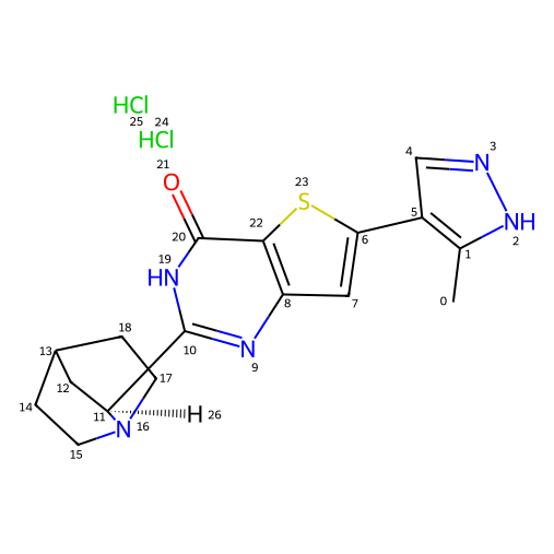 Cc1[nH]ncc1-c1cc2nc([C@@H]3CC4CCN3CC4)[nH]c(=O)c2s1.Cl.Cl